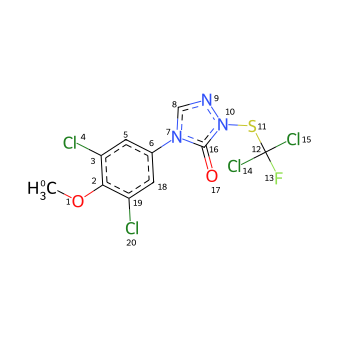 COc1c(Cl)cc(-n2cnn(SC(F)(Cl)Cl)c2=O)cc1Cl